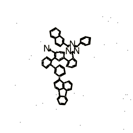 N#Cc1ccc(-c2ccccc2-c2nc(-c3ccccc3)nc(-c3ccc4ccccc4c3)n2)cc1-c1ccccc1-c1cccc(-c2ccc3c4c(cccc24)-c2ccccc2-3)c1